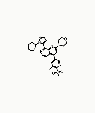 Cc1cc(-c2cc(N3CCOCC3)nc3c(-c4ccnn4C4CCCCO4)nccc23)cnc1S(C)(=O)=O